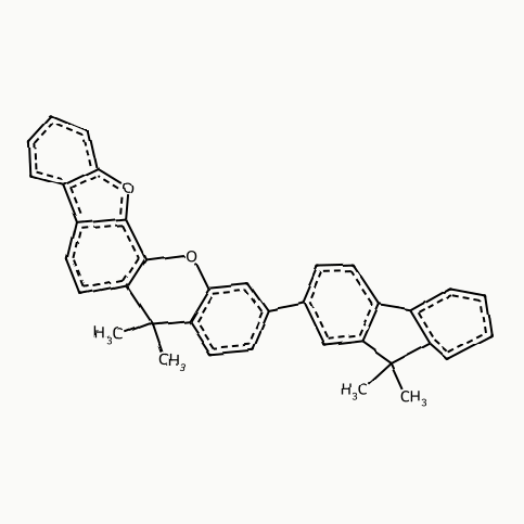 CC1(C)c2ccccc2-c2ccc(-c3ccc4c(c3)Oc3c(ccc5c3oc3ccccc35)C4(C)C)cc21